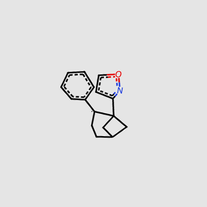 c1ccc([C]2CCC3CC2(c2ccon2)C3)cc1